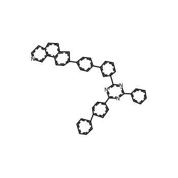 c1ccc(-c2ccc(-c3nc(-c4ccccc4)nc(-c4cccc(-c5ccc(-c6ccc7c(ccc8ccncc87)c6)cc5)c4)n3)cc2)cc1